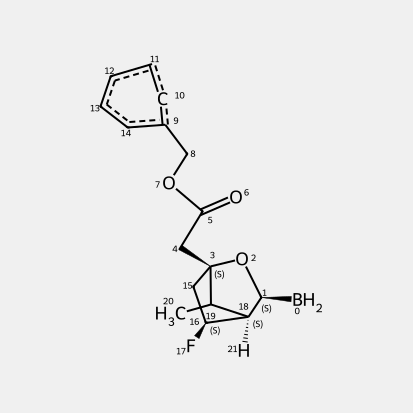 B[C@@H]1O[C@@]2(CC(=O)OCc3ccccc3)C[C@H](F)[C@H]1C2C